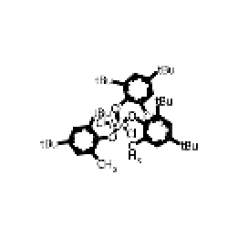 Cc1cc(C(C)(C)C)cc(C(C)(C)C)c1[O][Mo]([Cl])([Cl])([O]c1c(C)cc(C(C)(C)C)cc1C(C)(C)C)[O]c1c(C)cc(C(C)(C)C)cc1C(C)(C)C